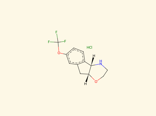 Cl.FC(F)(F)Oc1ccc2c(c1)C[C@H]1OCCN[C@@H]21